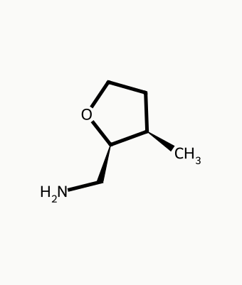 C[C@@H]1CCO[C@@H]1CN